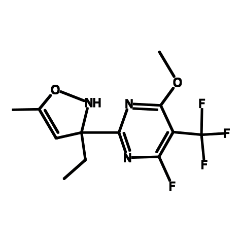 CCC1(c2nc(F)c(C(F)(F)F)c(OC)n2)C=C(C)ON1